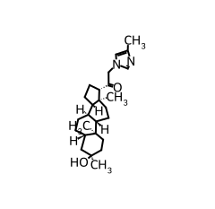 Cc1cn(CC(=O)[C@H]2CC[C@H]3[C@@H]4CC[C@H]5C[C@](C)(O)CC[C@]5(C)[C@H]4CC[C@]23C)cn1